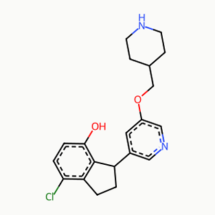 Oc1ccc(Cl)c2c1C(c1cncc(OCC3CCNCC3)c1)CC2